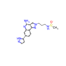 C[S+]([O-])NCCCn1cc2c(N)nc3cc(-c4ccn[nH]4)ccc3c2n1